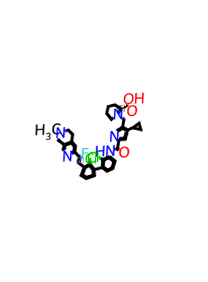 CN1CCc2cc(/C(F)=C/c3cccc(-c4cccc(NC(=O)c5cc(C6CC6)c(CN6CCCC[C@H]6C(=O)O)cn5)c4Cl)c3Cl)ncc2C1